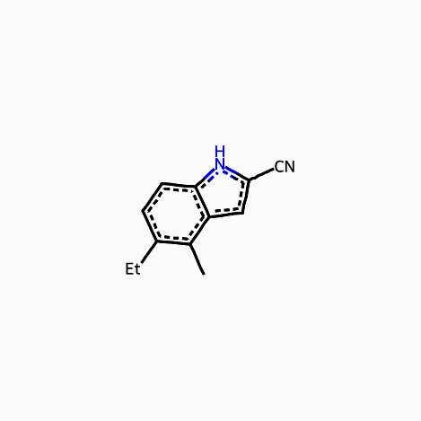 CCc1ccc2[nH]c(C#N)cc2c1C